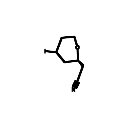 N#CC[C@H]1CC(I)CCO1